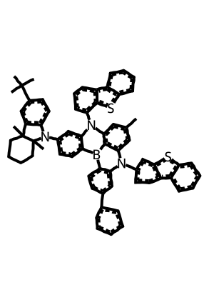 Cc1cc2c3c(c1)N(c1cccc4c1sc1ccccc14)c1cc(N4c5ccc(C(C)(C)C)cc5C5(C)CCCCC45C)ccc1B3c1ccc(-c3ccccc3)cc1N2c1ccc2c(c1)sc1ccccc12